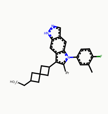 Cc1cc(-n2c(C(C)C)c(C3CC4(CC(CC(=O)O)C4)C3)c3cc4[nH]ncc4cc32)ccc1F